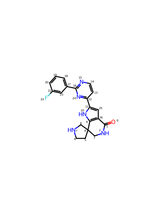 O=C1NCC2(CCNC2)c2[nH]c(-c3ccnc(-c4cccc(F)c4)n3)cc21